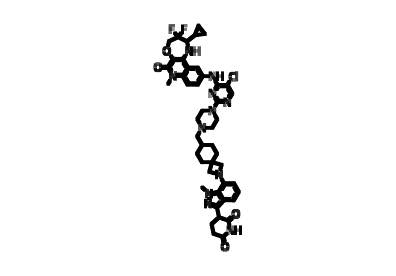 Cn1nc(C2CCC(=O)NC2=O)c2cccc(N3CC4(CCC(CN5CCN(c6ncc(Cl)c(Nc7ccc8c(c7)c7c(c(=O)n8C)OCC(F)(F)C(C8CC8)N7)n6)CC5)CC4)C3)c21